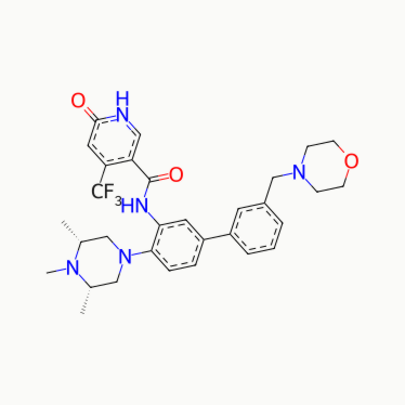 C[C@@H]1CN(c2ccc(-c3cccc(CN4CCOCC4)c3)cc2NC(=O)c2c[nH]c(=O)cc2C(F)(F)F)C[C@H](C)N1C